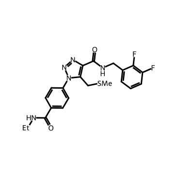 CCNC(=O)c1ccc(-n2nnc(C(=O)NCc3cccc(F)c3F)c2CSC)cc1